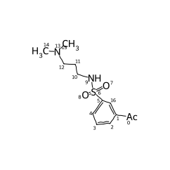 CC(=O)c1cccc(S(=O)(=O)NCCCN(C)C)c1